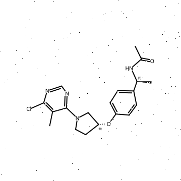 CC(=O)N[C@@H](C)c1ccc(O[C@@H]2CCN(c3ncnc(Cl)c3C)C2)cc1